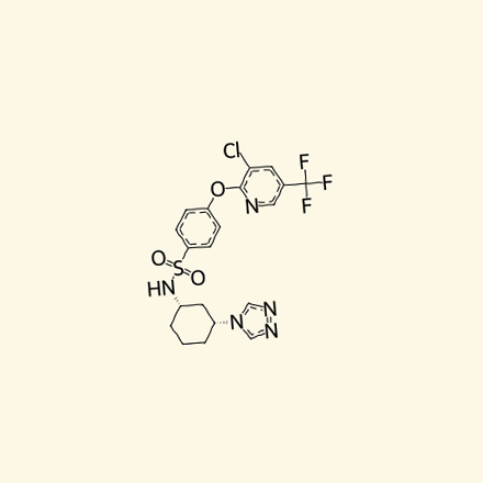 O=S(=O)(N[C@H]1CCC[C@@H](n2cnnc2)C1)c1ccc(Oc2ncc(C(F)(F)F)cc2Cl)cc1